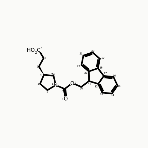 O=C(O)CC[C@@H]1CCN(C(=O)OCC2c3ccccc3-c3ccccc32)C1